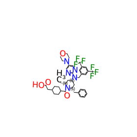 CC[C@@H]1C[C@H](N(Cc2cc(C(F)(F)F)cc(C(F)(F)F)c2)c2ncc(N3CCOCC3)cn2)C[C@H](Cc2ccccc2)N1C(=O)C1CCC(CC(=O)O)CC1